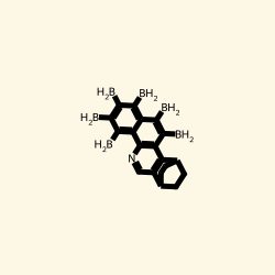 Bc1c(B)c(B)c2c(c1B)c(B)c(B)c1c3c(cnc12)C1CCC3CC1